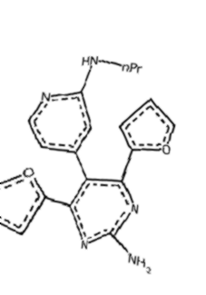 CCCNc1cc(-c2c(-c3ccco3)nc(N)nc2-c2ccco2)ccn1